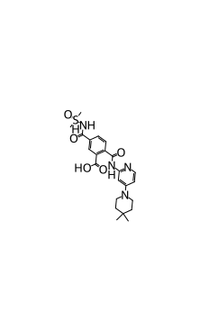 CC1(C)CCN(c2ccnc(NC(=O)c3ccc(C(=O)N[SH](C)(C)=O)cc3C(=O)O)c2)CC1